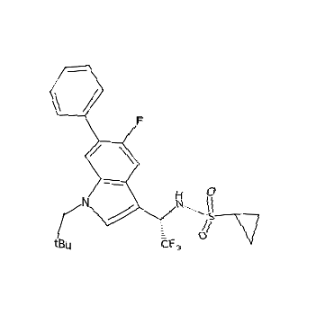 CC(C)(C)Cn1cc([C@H](NS(=O)(=O)C2CC2)C(F)(F)F)c2cc(F)c(-c3ccccc3)cc21